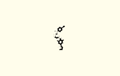 C#Cc1ccc(N(C)c2nccc(Oc3c(C)cc(-c4ccco4)cc3C)n2)cc1